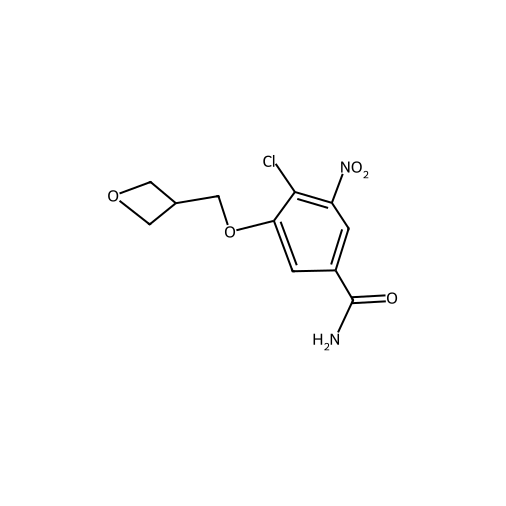 NC(=O)c1cc(OCC2COC2)c(Cl)c([N+](=O)[O-])c1